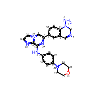 NN1CN=Cc2cc(-c3cn4ccnc4c(Nc4ccc(N5CCOCC5)cc4)n3)ccc21